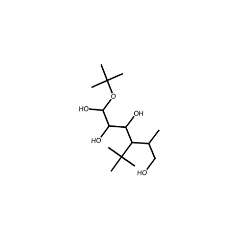 CC(CO)C(C(O)C(O)C(O)OC(C)(C)C)C(C)(C)C